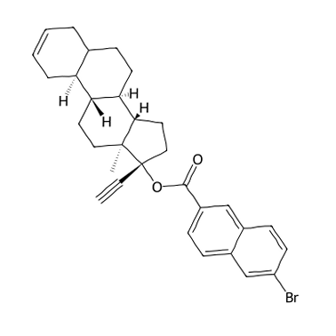 C#C[C@]1(OC(=O)c2ccc3cc(Br)ccc3c2)CC[C@H]2[C@@H]3CCC4CC=CC[C@@H]4[C@H]3CC[C@@]21C